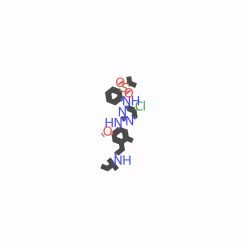 CCC(C)(C)NCCc1cc(OC)c(Nc2ncc(Cl)c(Nc3ccccc3S(=O)(=O)C(C)C)n2)cc1C